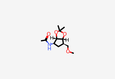 COC[C@H]1C[C@@H](NC(C)=O)[C@@H]2OC(C)(C)O[C@H]12